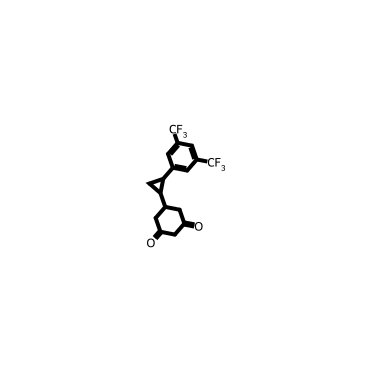 O=C1CC(=O)CC(C2CC2c2cc(C(F)(F)F)cc(C(F)(F)F)c2)C1